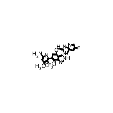 Cc1cc(N)nc(-c2cc3c4c(c2Cl)=NCNC=4N(Cc2cc(F)cnc2N)C=CO3)c1C(F)(F)F